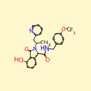 CC(Cc1ccccn1)N1C(=O)c2c(O)cccc2C1C(=O)NCc1ccc(OC(F)(F)F)cc1